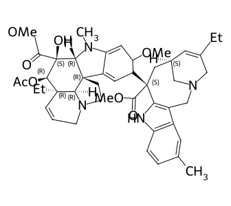 CCC1=C[C@H]2CN(C1)Cc1c([nH]c3ccc(C)cc13)[C@@](C(=O)OC)(C1C=C3C(=CC1OC)N(C)[C@H]1[C@@](O)(C(=O)OC)[C@H](OC(C)=O)[C@]4(CC)C=CCN5CC[C@]31[C@@H]54)C2